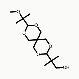 COC(C)(C)C1OCC2(COC(C(C)(C)CO)OC2)CO1